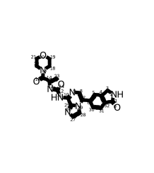 O=C1NCc2cc(-c3cnc(Nc4nc(C(=O)N5CCOCC5)co4)c4nccn34)ccc21